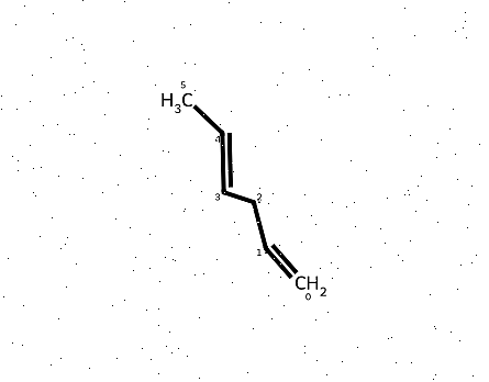 C=[C][CH]/C=C/C